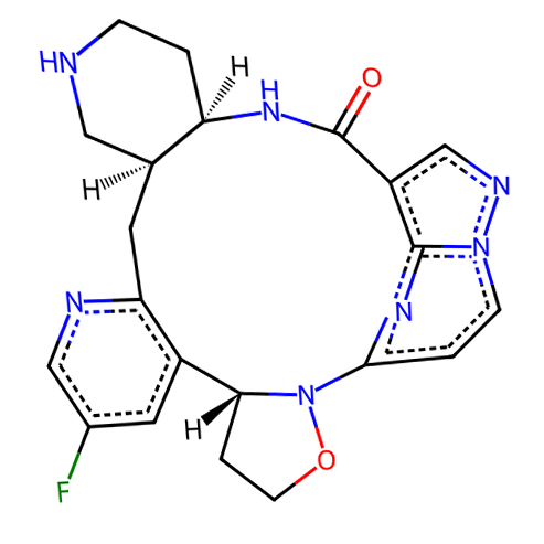 O=C1N[C@@H]2CCNC[C@@H]2Cc2ncc(F)cc2[C@H]2CCON2c2ccn3ncc1c3n2